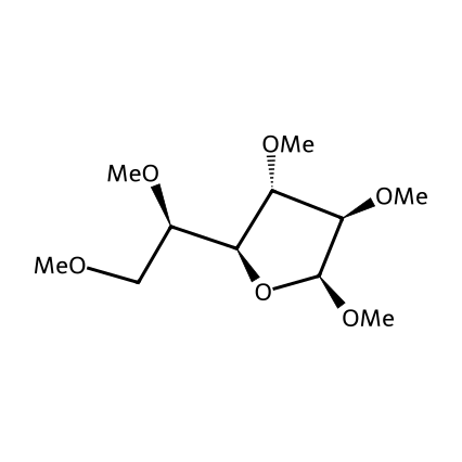 COC[C@@H](OC)[C@@H]1O[C@H](OC)[C@H](OC)[C@H]1OC